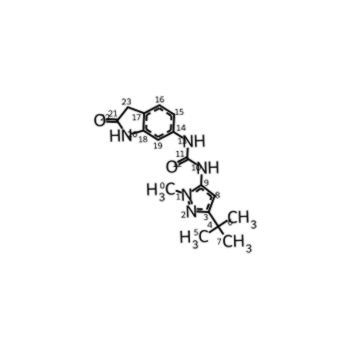 Cn1nc(C(C)(C)C)cc1NC(=O)Nc1ccc2c(c1)NC(=O)C2